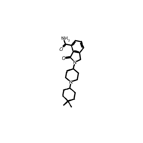 CC1(C)CCC(N2CCC(N3Cc4cccc(C(N)=O)c4C3=O)CC2)CC1